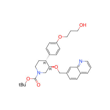 CC(C)(C)OC(=O)N1CC[C@H](c2ccc(OCCCO)cc2)[C@@H](OCc2ccc3cccnc3c2)C1